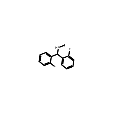 Fc1ccccc1C(PI)c1ccccc1F